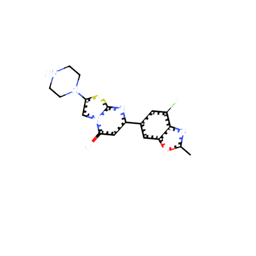 Cc1nc2c(F)cc(-c3cc(=O)n4cc(N5CCNCC5)sc4n3)cc2o1